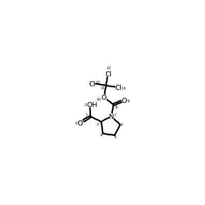 O=C(O)C1CCCN1C(=O)OC(Cl)(Cl)Cl